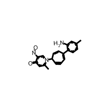 Cc1ccc(C2=CC#CC(n3cc(N=O)c(=O)cc3C)C=C2)c(N)c1